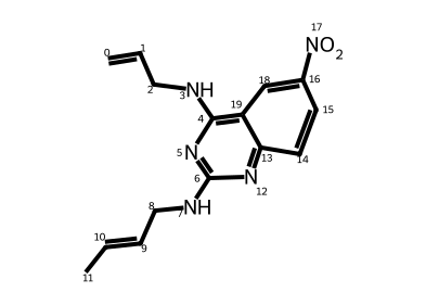 C=CCNc1nc(NCC=CC)nc2ccc([N+](=O)[O-])cc12